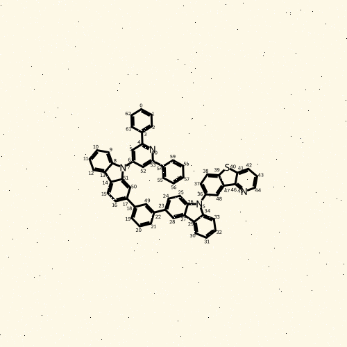 c1ccc(-c2cc(-n3c4ccccc4c4ccc(-c5cccc(-c6ccc7c(c6)c6ccccc6n7-c6ccc7sc8cccnc8c7c6)c5)cc43)cc(-c3ccccc3)n2)cc1